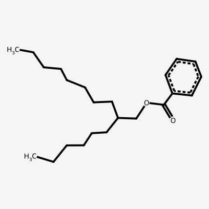 CCCCCCCCC(CCCCCC)COC(=O)c1ccccc1